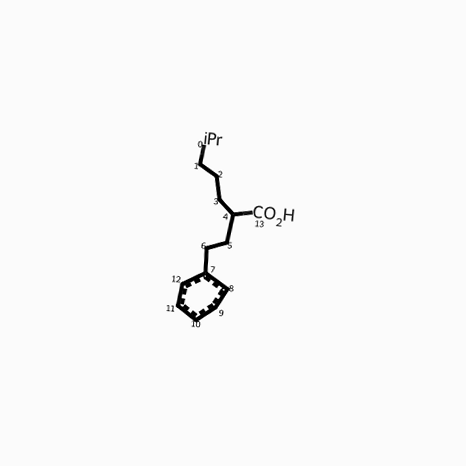 CC(C)CCCC(CCc1ccccc1)C(=O)O